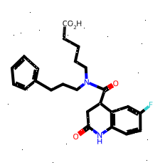 O=C(O)CCCCN(CCCc1ccccc1)C(=O)C1CC(=O)Nc2ccc(F)cc21